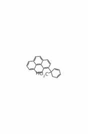 O=C(O)C1(c2ccc3ccc4cccc5ccc2c3c45)C=CC=CC1